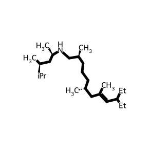 CCC(/C=C(\C)C[C@H](C)CCC[C@H](C)CN[C@H](C)C[C@H](C)C(C)C)CC